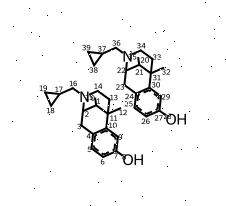 CC1C2Cc3ccc(O)cc3C1(C)CCN2CC1CC1.CC1C2Cc3ccc(O)cc3C1(C)CCN2CC1CC1